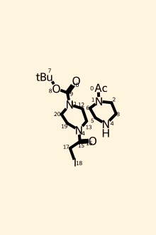 CC(=O)N1CCNCC1.CC(C)(C)OC(=O)N1CCN(C(=O)CI)CC1